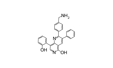 NCc1ccc(-c2nc3c(-c4ccccc4O)cnc(O)c3cc2-c2ccccc2)cc1